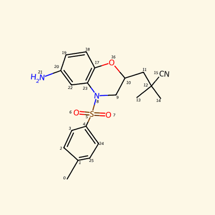 Cc1ccc(S(=O)(=O)N2CC(CC(C)(C)C#N)Oc3ccc(N)cc32)cc1